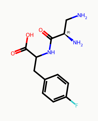 NC[C@@H](N)C(=O)NC(Cc1ccc(F)cc1)C(=O)O